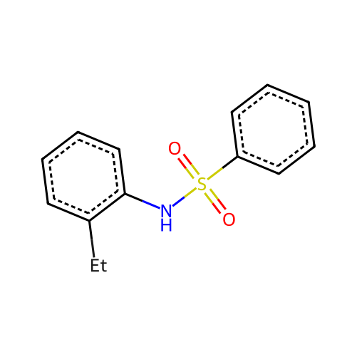 [CH2]Cc1ccccc1NS(=O)(=O)c1ccccc1